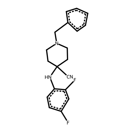 N#CC1(Nc2ccc(F)cc2F)CCN(Cc2ccccc2)CC1